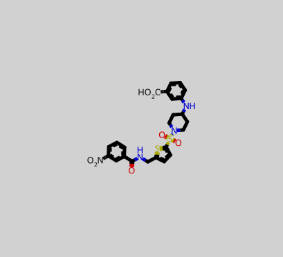 O=C(O)c1cccc(NC2CCN(S(=O)(=O)c3ccc(CNC(=O)c4cccc([N+](=O)[O-])c4)s3)CC2)c1